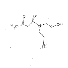 CC(=O)CC(=O)N(CCO)CCO